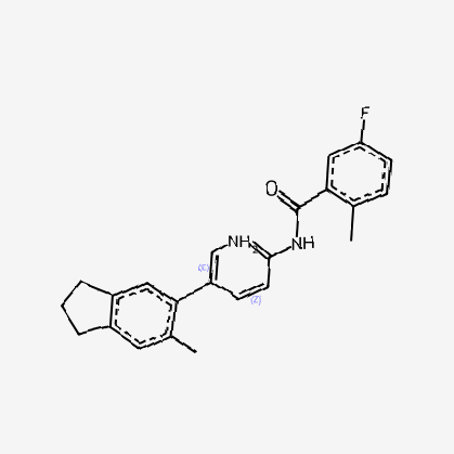 C=C(/C=C\C(=C/N)c1cc2c(cc1C)CCC2)NC(=O)c1cc(F)ccc1C